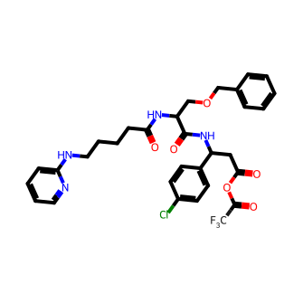 O=C(CCCCNc1ccccn1)NC(COCc1ccccc1)C(=O)NC(CC(=O)OC(=O)C(F)(F)F)c1ccc(Cl)cc1